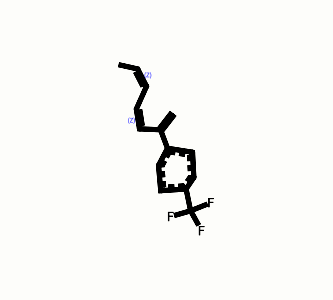 C=C(/C=C\C=C/C)c1ccc(C(F)(F)F)cc1